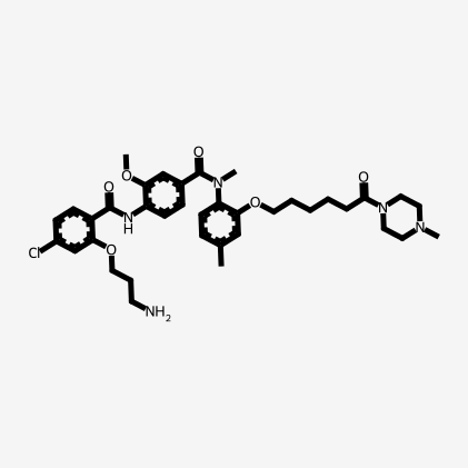 COc1cc(C(=O)N(C)c2ccc(C)cc2OCCCCCC(=O)N2CCN(C)CC2)ccc1NC(=O)c1ccc(Cl)cc1OCCCN